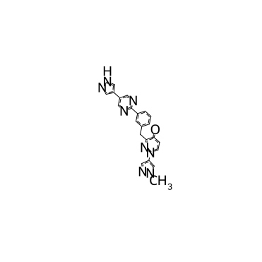 Cn1cc(-n2ccc(=O)c(Cc3cccc(-c4ncc(-c5cn[nH]c5)cn4)c3)n2)cn1